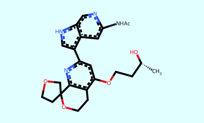 CC(=O)Nc1cc2c(-c3cc(OCC[C@@H](C)O)c4c(n3)C3(CCOC3)OCC4)c[nH]c2cn1